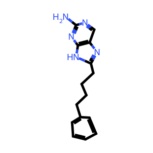 Nc1ncc2nc(CCCCc3ccccc3)[nH]c2n1